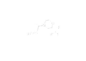 CC(SS)N1CCO[C@H](C(F)(F)F)C1